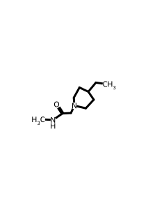 CCC1CCN(CC(=O)NC)CC1